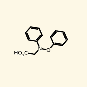 O=C(O)CN(Oc1ccccc1)c1ccccc1